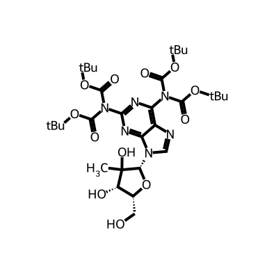 CC(C)(C)OC(=O)N(C(=O)OC(C)(C)C)c1nc(N(C(=O)OC(C)(C)C)C(=O)OC(C)(C)C)c2ncn([C@@H]3O[C@H](CO)[C@H](O)C3(C)O)c2n1